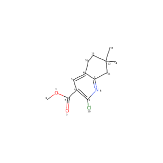 COC(=O)c1cc2c(nc1Cl)CC(C)(C)CC2